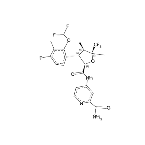 Cc1c(F)ccc([C@@H]2[C@@H](C)[C@@](C)(C(F)(F)F)O[C@H]2C(=O)Nc2ccnc(C(N)=O)c2)c1OC(F)F